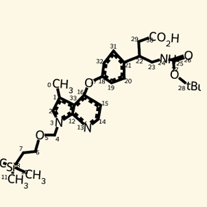 Cc1cn(COCC[Si](C)(C)C)c2nccc(Oc3ccc(C(CNC(=O)OC(C)(C)C)CC(=O)O)cc3)c12